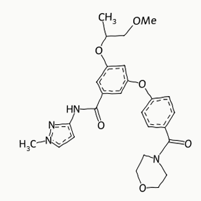 COCC(C)Oc1cc(Oc2ccc(C(=O)N3CCOCC3)cc2)cc(C(=O)Nc2ccn(C)n2)c1